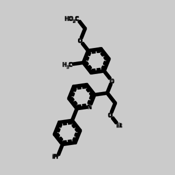 CCOCC(Oc1ccc(OCC(=O)O)c(C)c1)c1cccc(-c2ccc(C(C)C)cc2)n1